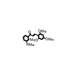 CNc1cccc(C(=O)C=Cc2c(OC)cc(OC)cc2OC)c1